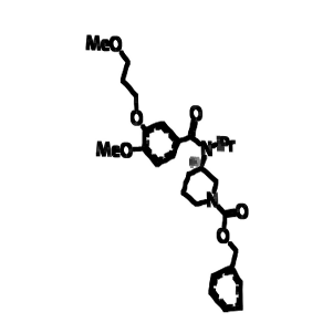 COCCCOc1cc(C(=O)N(C(C)C)[C@@H]2CCCN(C(=O)OCc3ccccc3)C2)ccc1OC